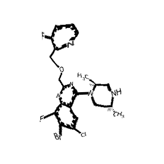 C[C@@H]1CN(c2nc(COCc3ncccc3F)nc3c(F)c(Br)c(Cl)cc23)[C@@H](C)CN1